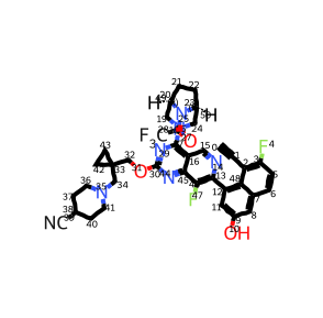 C#Cc1c(F)ccc2cc(O)cc(-c3ncc4c(N5C[C@H]6CC[C@@H](C5)N6C(=O)C(F)(F)F)nc(OCC5(CN6CCC(C#N)CC6)CC5)nc4c3F)c12